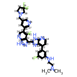 CN(C)CCNc1cc(F)cc(-c2ccnc3[nH]c(-c4n[nH]c5ncc(-c6cncc(CN7CCC(F)(F)C7)c6)c(F)c45)nc23)c1